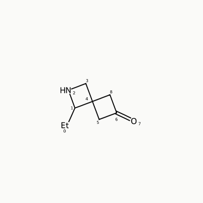 CCC1NCC12CC(=O)C2